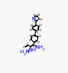 C=C/C(NN)=C(/N)c1ccc(-c2ccc(C3=NC=CC3)cc2)cc1